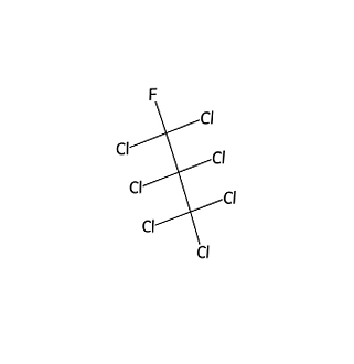 FC(Cl)(Cl)C(Cl)(Cl)C(Cl)(Cl)Cl